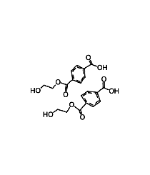 O=C(O)c1ccc(C(=O)OCCO)cc1.O=C(O)c1ccc(C(=O)OCCO)cc1